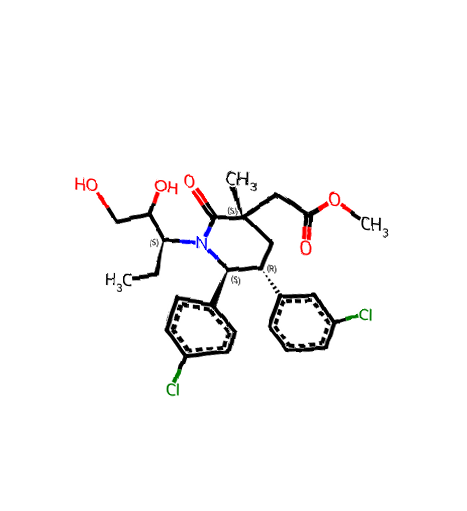 CC[C@@H](C(O)CO)N1C(=O)[C@](C)(CC(=O)OC)C[C@H](c2cccc(Cl)c2)[C@H]1c1ccc(Cl)cc1